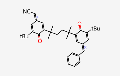 CC(C)(C)C1=C/C(=C/c2ccccc2)C=C(C(C)(C)CCC(C)(C)C2=C/C(=C/C#N)C=C(C(C)(C)C)C2=O)C1=O